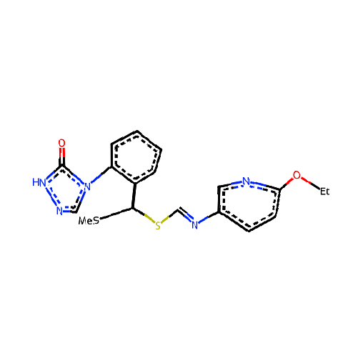 CCOc1ccc(N=CSC(SC)c2ccccc2-n2cn[nH]c2=O)cn1